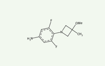 COC1(C)CN(c2c(F)cc(N)cc2F)C1